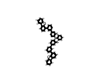 c1cc(-c2ccc3c(c2)Sc2cccc4c2B3c2ccc(-c3cccc(-c5cccc6c5oc5ccccc56)c3)cc2S4)cc(-c2cccc3c2oc2ccccc23)c1